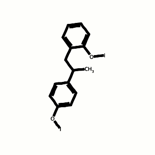 CC(Cc1ccccc1OI)c1ccc(OI)cc1